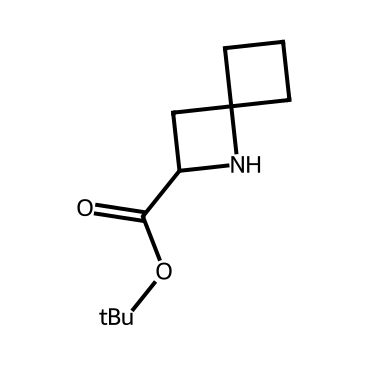 CC(C)(C)OC(=O)C1CC2(CCC2)N1